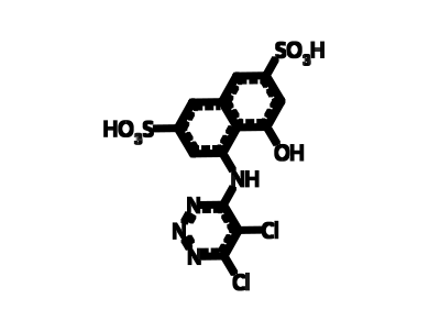 O=S(=O)(O)c1cc(O)c2c(Nc3nnnc(Cl)c3Cl)cc(S(=O)(=O)O)cc2c1